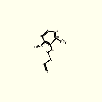 C=CCCCc1c(CCC)cccc1CCC